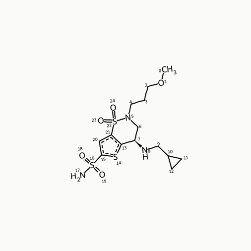 COCCCN1C[C@@H](NCC2CC2)c2sc(S(N)(=O)=O)cc2S1(=O)=O